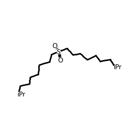 CC(C)CCCCCCCS(=O)(=O)CCCCCCCC(C)C